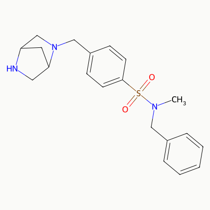 CN(Cc1ccccc1)S(=O)(=O)c1ccc(CN2CC3CC2CN3)cc1